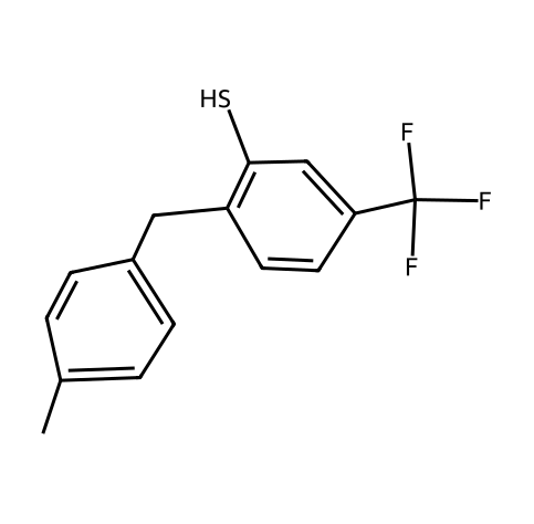 Cc1ccc(Cc2ccc(C(F)(F)F)cc2S)cc1